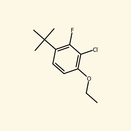 CCOc1ccc(C(C)(C)C)c(F)c1Cl